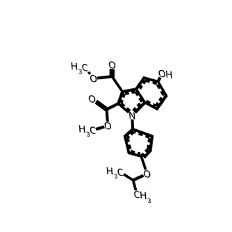 COC(=O)c1c(C(=O)OC)n(-c2ccc(OC(C)C)cc2)c2ccc(O)cc12